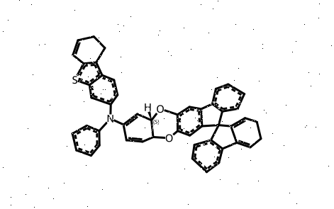 C1=Cc2sc3cc(N(C4=C[C@@H]5Oc6cc7c(cc6OC5C=C4)C4(C5=CCCC=C5c5ccccc54)c4ccccc4-7)c4ccccc4)ccc3c2CC1